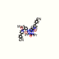 CSc1ccc(NC(=O)N(C(C)C)N(C(=O)NC(C)C)c2ccc(C)c(C(=O)N3CCC(c4ccc(C#N)cc4)CC3)c2)cc1C(=O)N1CCC(c2ccc(C#N)cc2)CC1